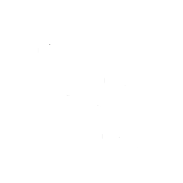 O=C(OC(=O)C(=C(C(F)(F)F)C(F)(F)F)C(F)(F)F)C(=C(C(F)(F)F)C(F)(F)F)C(F)(F)F